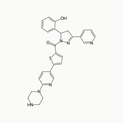 O=C(c1ccc(-c2ccc(N3CCNCC3)nc2)s1)N1N=C(c2cccnc2)CC1c1ccccc1O